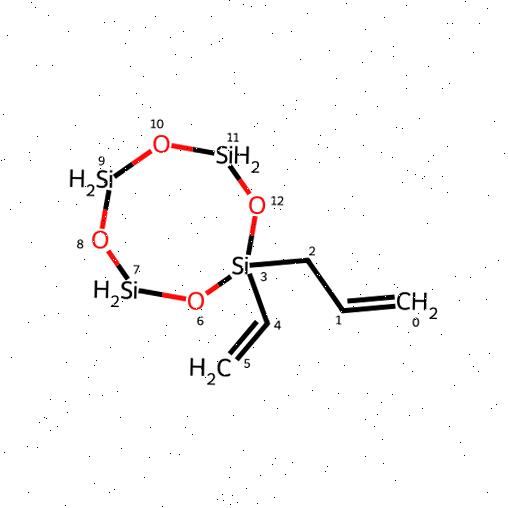 C=CC[Si]1(C=C)O[SiH2]O[SiH2]O[SiH2]O1